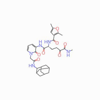 CNC(=O)C(=O)CC[C@H](NC(=O)c1cc(C)oc1C)C(=O)Nc1cccn(CC(=O)NC2C3CC4CC(C3)CC2C4)c1=O